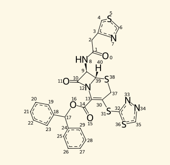 O=C(Cc1cscn1)N[C@@H]1C(=O)N2C(C(=O)OC(c3ccccc3)c3ccccc3)=C(Sc3nncs3)CS[C@@H]12